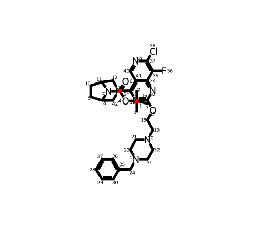 CC(C)(C)OC(=O)N1C2CCC1CN(c1nc(OCCN3CCN(Cc4ccccc4)CC3)nc3c(F)c(Cl)ncc13)C2